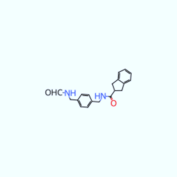 O=CNCc1ccc(CNC(=O)C2Cc3ccccc3C2)cc1